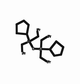 CC(C)C[Si](CC(C)C)(O[Si](CC(C)C)(CC(C)C)C1CCCC1)C1CCCC1